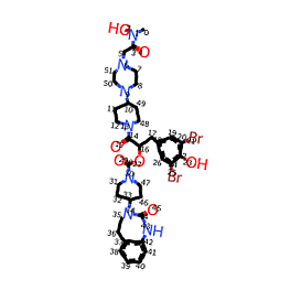 CN(O)C(=O)CN1CCN(C2CCN(C(=O)C(Cc3cc(Br)c(O)c(Br)c3)OC(=O)N3CCC(N4CCc5ccccc5NC4=O)CC3)CC2)CC1